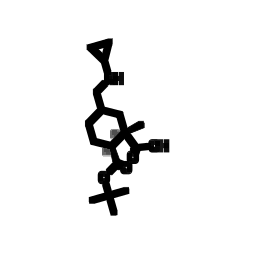 CC(C)(C)OC(=O)[C@H]1CCC(CNC2CC2)C[C@]1(C)C(=O)O